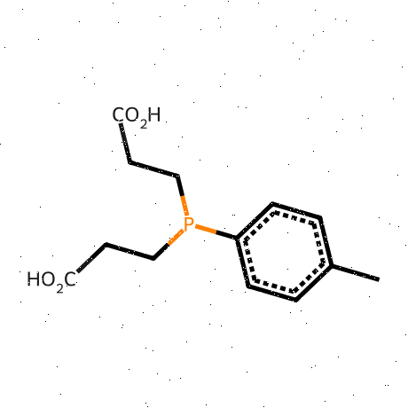 Cc1ccc(P(CCC(=O)O)CCC(=O)O)cc1